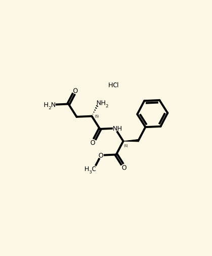 COC(=O)[C@H](Cc1ccccc1)NC(=O)[C@@H](N)CC(N)=O.Cl